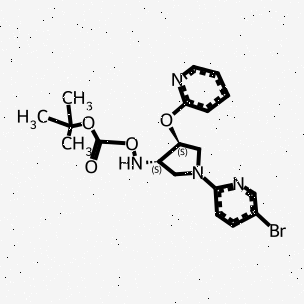 CC(C)(C)OC(=O)ON[C@H]1CN(c2ccc(Br)cn2)C[C@@H]1Oc1ccccn1